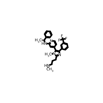 CNCCCc1nc(-c2cccc(C(F)(F)F)c2)c(-c2ccnc(N[C@@H](C)c3ccccc3)c2)n1C